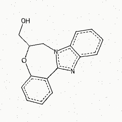 OCC1Cn2c(nc3ccccc32)-c2ccccc2O1